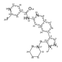 Cn1ncc(-c2ccc3cnc(NC(=O)c4ccnc(F)c4)cc3c2)c1CN1CCCCC1